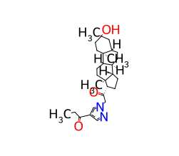 CCC(=O)c1cnn(CC(=O)[C@H]2CC[C@H]3[C@@H]4CC[C@H]5C[C@](C)(O)CC[C@]5(C)[C@H]4CC[C@]23C)c1